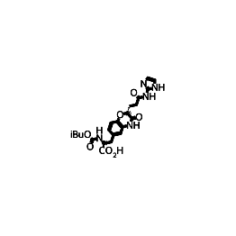 CC(C)COC(=O)N[C@@H](Cc1ccc2c(c1)NC(=O)[C@@H](CCC(=O)Nc1ncc[nH]1)O2)C(=O)O